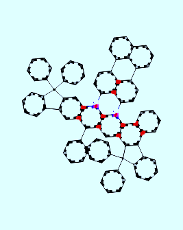 c1ccc(-c2cccc(N(c3ccc(-c4cccc5cccc(-c6ccc(N(c7cccc(-c8ccccc8)c7)c7ccc8c(c7)C(c7ccccc7)(c7ccccc7)c7ccccc7-8)cc6)c45)cc3)c3ccc4c(c3)C(c3ccccc3)(c3ccccc3)c3ccccc3-4)c2)cc1